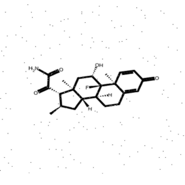 C[C@@H]1C[C@H]2[C@@H]3CCC4=CC(=O)C=C[C@]4(C)[C@@]3(F)[C@@H](O)C[C@]2(C)[C@H]1C(=O)C(N)=O